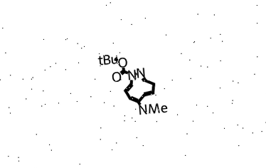 CNC1=C/C=C/N(C(=O)OC(C)(C)C)/N=C/C\C=C\1